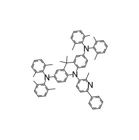 Cc1cccc(C)c1N(c1ccc2c(c1)C(C)(C)c1cc(N(c3c(C)cccc3C)c3c(C)cccc3C)ccc1N2c1ccc(-c2ccccc2)nc1C)c1c(C)cccc1C